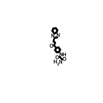 NC(=O)C(=O)Nc1ccc(C(=O)/C=C/c2cnc3ccccc3n2)cc1